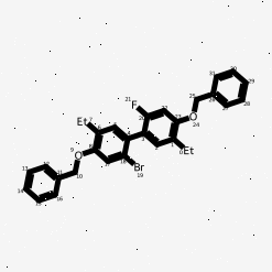 CCc1cc(-c2cc(CC)c(OCc3ccccc3)cc2Br)c(F)cc1OCc1ccccc1